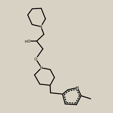 Cc1ccc(CC2CCN(OCC(O)CN3CCCCC3)CC2)cn1